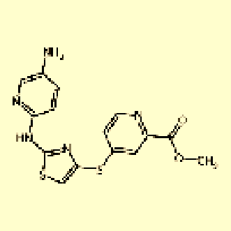 COC(=O)c1cc(Sc2csc(Nc3ccc(N)cn3)n2)ccn1